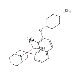 OC(O)C1CC2CCCC(C1)N2Cc1cccc2ccc(O[C@H]3CC[C@@H](C(F)(F)F)CC3)c(C(F)(F)F)c12